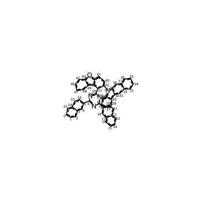 c1ccc2cc(C3=NC(c4ccc5ccccc5c4)NC(c4c(-n5c6ccccc6c6cc7ccccc7cc65)ccc5oc6ccccc6c45)=N3)ccc2c1